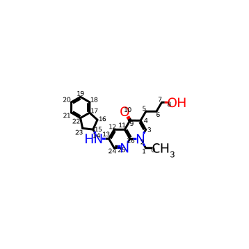 CCn1cc(CCCO)c(=O)c2cc(NC3Cc4ccccc4C3)cnc21